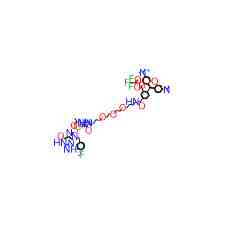 CC(=O)N[C@@H](CSc1nc2c(=O)[nH]c(N)nc2n1Cc1ccc(F)cc1)C(=O)NCCCOCCOCCOCCCNC(=O)c1ccc(-c2c3ccc(=[N+](C)C)cc-3oc3cc(N(C)C)ccc23)c(C(=O)OC(=O)C(F)(F)F)c1